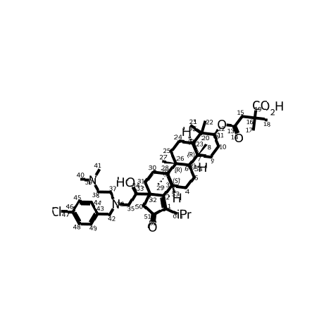 CC(C)C1=C2[C@H]3CC[C@@H]4[C@@]5(C)CC[C@H](OC(=O)CC(C)(C)C(=O)O)C(C)(C)[C@@H]5CC[C@@]4(C)[C@]3(C)CCC2(C(O)CN(CCN(C)C)Cc2ccc(Cl)cc2)CC1=O